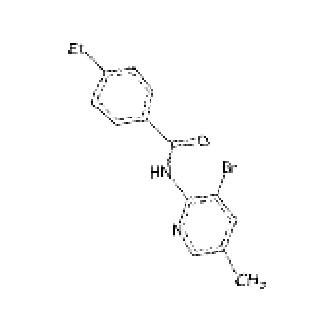 CCc1ccc(C(=O)Nc2ncc(C)cc2Br)cc1